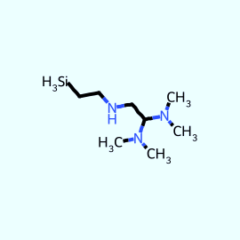 CN(C)C(CNCC[SiH3])N(C)C